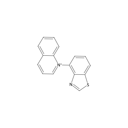 c1ccc2c(c1)ccc[n+]2-c1cccc2scnc12